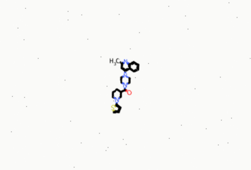 Cc1cc(N2CCN(C(=O)C3CCCN(c4cccs4)C3)CC2)c2ccccc2n1